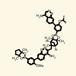 COc1ccc(B2O[C@]3(C)CCC[C@]3(C)O2)cc1-c1ccc2c(N)c(CC3(C)[C@H]4C[C@@H]3[C@]3(C)OB(c5ccc(OC(F)F)c(-c6ccc7c(N)cnnc7c6)c5)O[C@]3(C)C4)nnc2c1